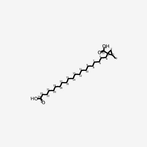 CC1CC1(CCCCCCCCCCCCCCCCCCCCC(=O)O)C(=O)O